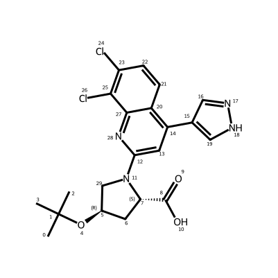 CC(C)(C)O[C@@H]1C[C@@H](C(=O)O)N(c2cc(-c3cn[nH]c3)c3ccc(Cl)c(Cl)c3n2)C1